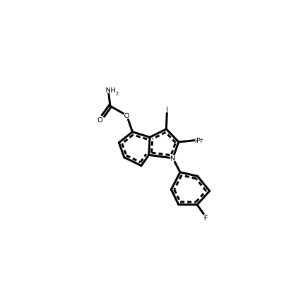 CC(C)c1c(I)c2c(OC(N)=O)cccc2n1-c1ccc(F)cc1